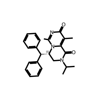 Cc1c2n(c(C)nc1=O)[C@@H](C(c1ccccc1)c1ccccc1)CN(C(C)C)C2=O